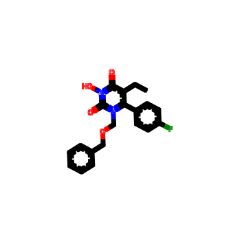 CCc1c(-c2ccc(F)cc2)n(COCc2ccccc2)c(=O)n(O)c1=O